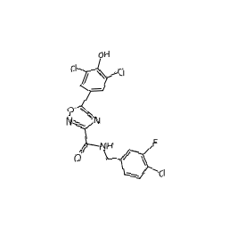 O=C(NCc1ccc(Cl)c(F)c1)c1noc(-c2cc(Cl)c(O)c(Cl)c2)n1